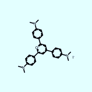 CN(C)c1ccc(-c2cc(-c3ccc(N(C)C)cc3)[o+]c(-c3ccc(N(C)C)cc3)c2)cc1.[I-]